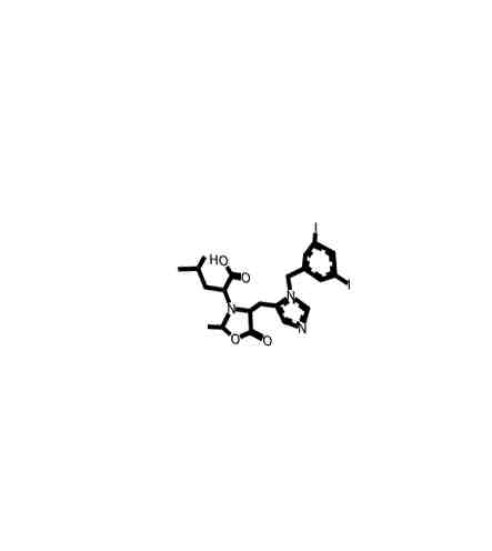 CC(C)CC(C(=O)O)N1C(C)OC(=O)C1Cc1cncn1Cc1cc(I)cc(I)c1